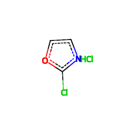 Cl.Clc1ncco1